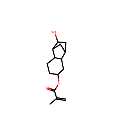 C=C(C)C(=O)OC1CCC2C3CC(CC3O)C2C1